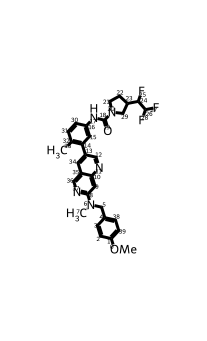 COc1ccc(CN(C)c2cc3ncc(-c4cc(NC(=O)N5CCC(C(F)C(F)F)C5)ccc4C)cc3cn2)cc1